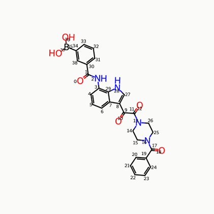 O=C(Nc1cccc2c(C(=O)C(=O)N3CCN(C(=O)c4ccccc4)CC3)c[nH]c12)c1cccc(B(O)O)c1